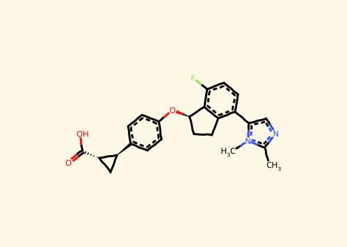 Cc1ncc(-c2ccc(F)c3c2CC[C@H]3Oc2ccc([C@H]3C[C@@H]3C(=O)O)cc2)n1C